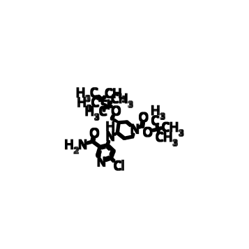 CC(C)(C)OC(=O)N1CC[C@@H](Nc2cc(Cl)ncc2C(N)=O)[C@@H](CO[Si](C)(C)C(C)(C)C)C1